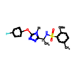 CCn1c(Oc2ccc(F)cc2)nnc1[C@@H](C)NS(=O)(=O)c1cc(C)ccc1OC